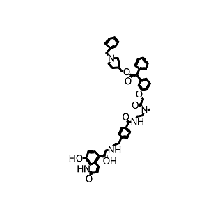 CN(CCNC(=O)c1ccc(CCNC[C@H](O)c2ccc(O)c3[nH]c(=O)ccc23)cc1)C(=O)COc1cccc(C(C(=O)OCC2CCN(Cc3ccccc3)CC2)c2ccccc2)c1